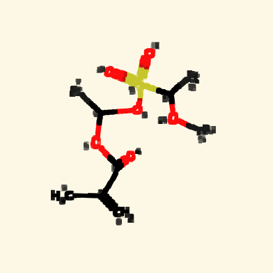 C=C(C)C(=O)OC(CC)OS(=O)(=O)C(CC)OCCCC